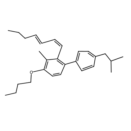 CCC/C=C/C=C\c1c(-c2ccc(CC(C)C)cc2)ccc(OCCCC)c1C